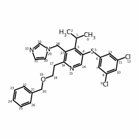 CC(C)c1c(Sc2cc(Cl)cc(Cl)c2)cnc(CCOCc2ccccc2)c1Cn1ccnc1